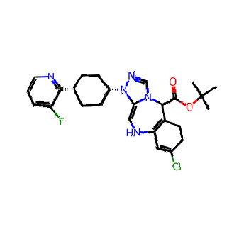 CC(C)(C)OC(=O)C1C2=C(C=C(Cl)CC2)NC=C2N1C=NN2[C@H]1CC[C@@H](c2ncccc2F)CC1